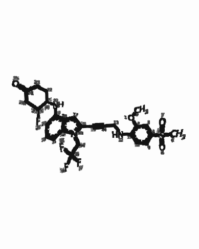 COc1cc(S(C)(=O)=O)ccc1NCC#Cc1cc2c(N[C@@H]3CCC(=O)C[C@@H]3F)cccc2n1CC(F)(F)F